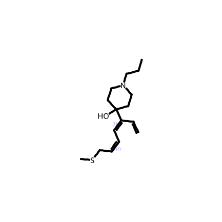 C=C/C(=C\C=C/CSC)C1(O)CCN(CCC)CC1